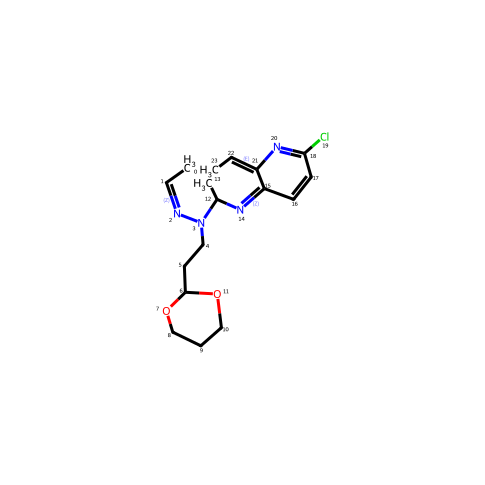 C/C=N\N(CCC1OCCCO1)C(C)/N=C1/C=CC(Cl)=N/C1=C/C